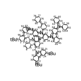 CC(C)(C)c1cc(-c2ccccc2)c(CCN2c3cc(Cn4c5ccc(C(C)(C)C)cc5c5cc(C(C)(C)C)ccc54)ccc3B3c4ccc(-n5c6ccccc6c6cc(N(c7ccccc7)c7ccccc7)ccc65)cc4N(c4cccc(-c5ccccc5)c4)c4cc(C(C)(C)C)cc2c43)c(-c2ccccc2)c1